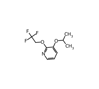 CC(C)Oc1cccnc1OCC(F)(F)F